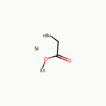 CCCCCC(=O)OCC.[Si]